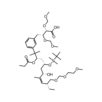 CCC(=O)O[C@@H](C[C@@H](C[C@H](O)/C(C)=C\[C@@H](CC)COCOCCOC)O[Si](C)(C)C(C)(C)C)C(C)(C)c1cccc(C[C@@H](OCOC)[C@H](OCOC)C(=O)O)c1